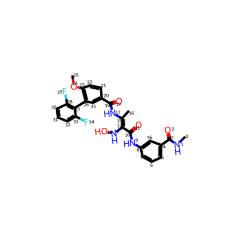 CNC(=O)c1cccc(NC(=O)/C(NO)=C(\C)NC(=O)c2ccc(OC)c(-c3c(F)cccc3F)c2)c1